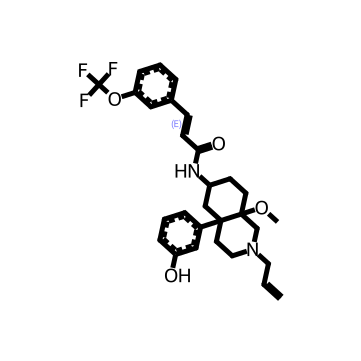 C=CCN1CCC2(c3cccc(O)c3)CC(NC(=O)/C=C/c3cccc(OC(F)(F)F)c3)CCC2(OC)C1